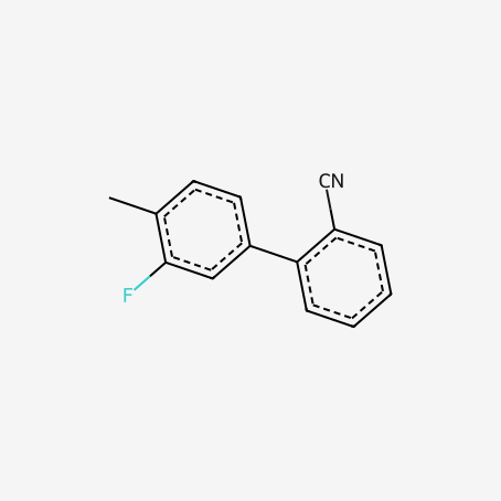 Cc1ccc(-c2ccccc2C#N)cc1F